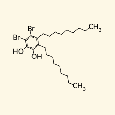 CCCCCCCCCc1c(O)c(O)c(Br)c(Br)c1CCCCCCCCC